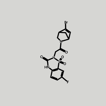 O=C(CN1C(=O)Nc2ccc(F)cc2S1(=O)=O)N1CC2CC1C=C2Br